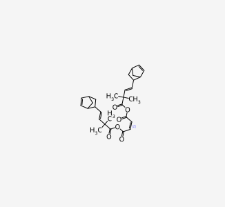 CC(C)(C=CC1CC2C=CC1C2)C(=O)OC(=O)/C=C\C(=O)OC(=O)C(C)(C)C=CC1CC2C=CC1C2